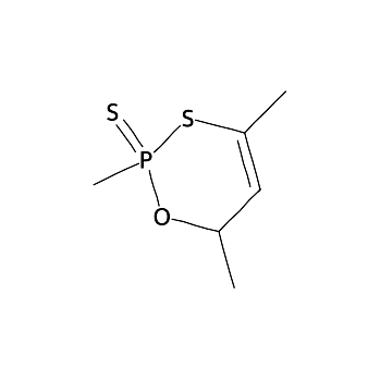 CC1=CC(C)OP(C)(=S)S1